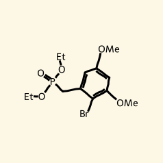 CCOP(=O)(Cc1cc(OC)cc(OC)c1Br)OCC